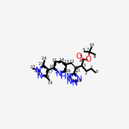 CCCC(C(=O)OC(C)(C)C)[C@H](Cc1ccc(-c2c(C)nn(C)c2C)nc1)c1nnn[nH]1